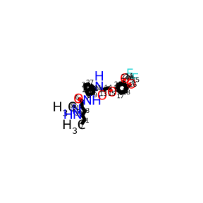 CCC1CC(C(=O)NC2CC(NC(=O)COc3ccc4c(c3)OC(F)(F)O4)C3CC2C3)N(C)N1